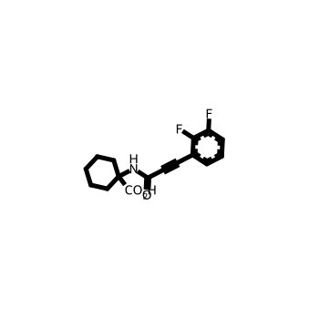 O=C(C#Cc1cccc(F)c1F)NC1(C(=O)O)CCCCC1